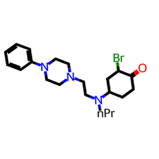 CCCN(CCN1CCN(c2ccccc2)CC1)C1CCC(=O)C(Br)C1